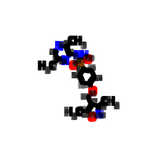 Cc1cnc(C)c(NS(=O)(=O)c2ccc(OCc3c(C)noc3C)cc2)n1